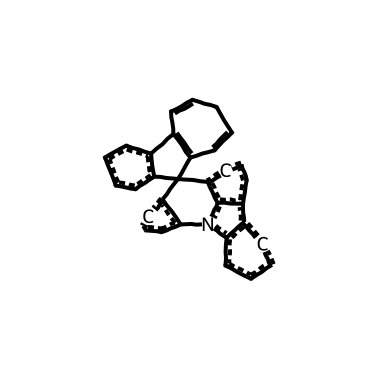 C1=CC2=C(C=CC1)C1(c3ccccc32)c2ccccc2-n2c3ccccc3c3cccc1c32